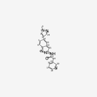 Cn1cc(-c2ccc3nnc(NC(=O)Cc4cccnc4)cc3c2)cn1